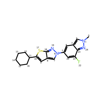 Cn1cc2cc(-n3cc4cc(C5CCCCC5)sc4n3)cc(F)c2n1